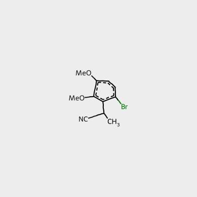 COc1ccc(Br)c(C(C)C#N)c1OC